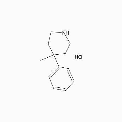 CC1(c2ccccc2)CCNCC1.Cl